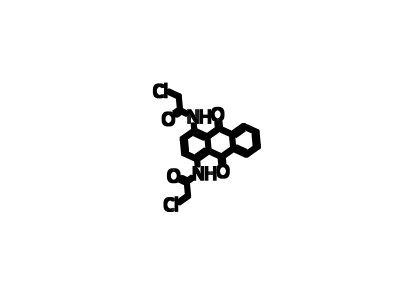 O=C(CCl)Nc1ccc(NC(=O)CCl)c2c1C(=O)c1ccccc1C2=O